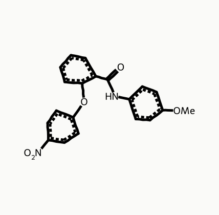 COc1ccc(NC(=O)c2ccccc2Oc2ccc([N+](=O)[O-])cc2)cc1